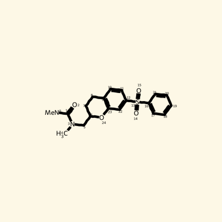 CNC(=O)N(C)CC1CCc2ccc(S(=O)(=O)c3ccccc3)cc2O1